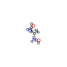 O=[N+]([O-])c1ccccc1-c1cc(-c2ccc3c(c2)c2cc4oc5ccccc5c4cc2n3-c2ccccc2)cc(-c2ccc3c(c2)c2cc4oc5ccccc5c4cc2n3-c2ccccc2)c1